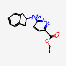 CCOC(=O)c1ccc(NC2Cc3ccccc3C2)nn1